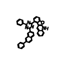 C1=CC2=Cc3c(oc4cccc(-c5nc(-c6ccccc6)nc(-c6ccc7ccc(-c8ccccc8)cc7c6)n5)c34)NC2C=C1